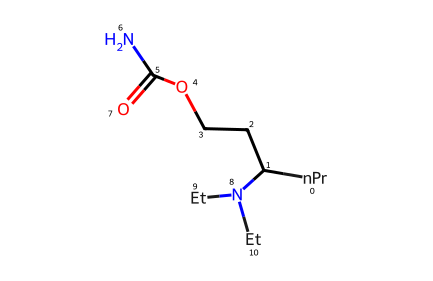 CCCC(CCOC(N)=O)N(CC)CC